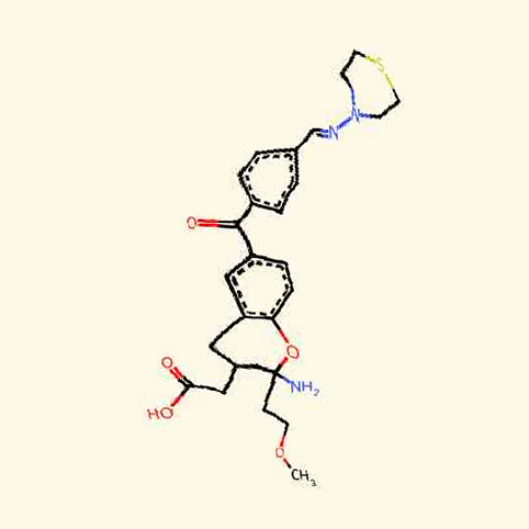 COCCC1(N)Oc2ccc(C(=O)c3ccc(C=NN4CCSCC4)cc3)cc2CC1CC(=O)O